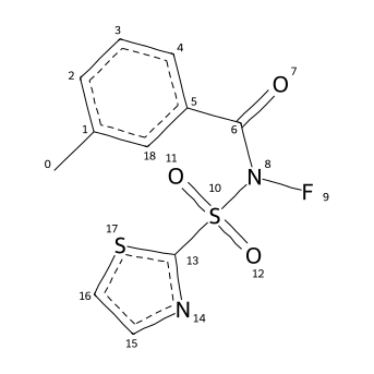 Cc1cccc(C(=O)N(F)S(=O)(=O)c2nccs2)c1